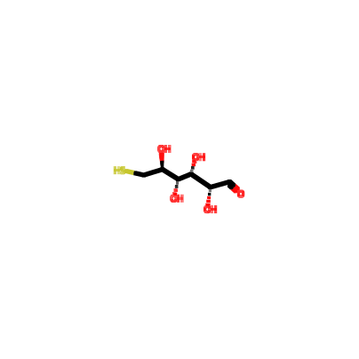 O=C[C@H](O)[C@@H](O)[C@H](O)[C@H](O)CS